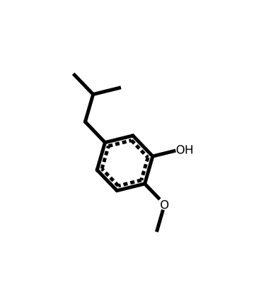 COc1ccc(CC(C)C)cc1O